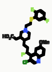 COc1ccc2ncc(Cl)c([C@H](F)CCC3CCN(CCSc4cc(F)ccc4F)CC3CC(=O)O)c2c1